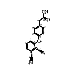 N#Cc1cccc(Oc2ccc(CC(=O)O)cc2)c1C#N